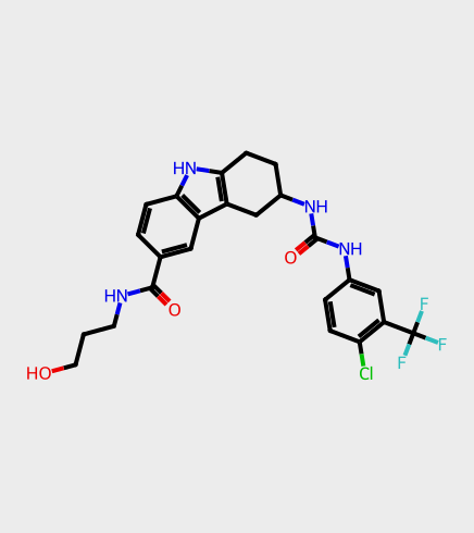 O=C(Nc1ccc(Cl)c(C(F)(F)F)c1)NC1CCc2[nH]c3ccc(C(=O)NCCCO)cc3c2C1